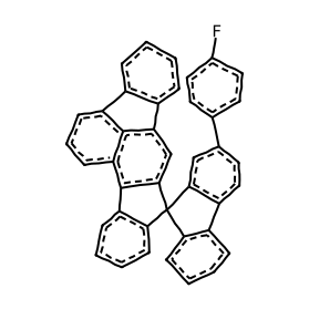 Fc1ccc(-c2ccc3c(c2)C2(c4ccccc4-3)c3ccccc3-c3c2cc2c4c(cccc34)-c3ccccc3-2)cc1